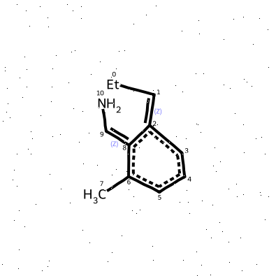 CC/C=c1/cccc(C)/c1=C/N